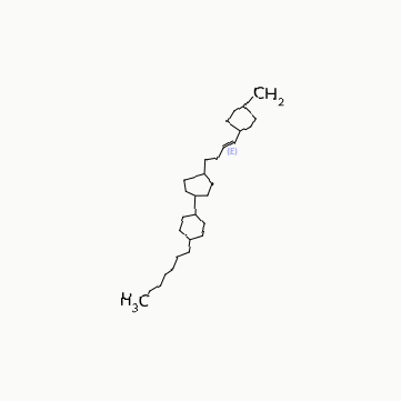 C=CC1CCC(/C=C/CCC2CCC(C3CCC(CCCCCCC)CC3)CC2)CC1